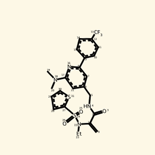 C=C(C(=O)NCc1cc(-c2ccc(C(F)(F)F)cc2)nc(N(C)C)c1)N(CC)S(=O)(=O)c1cccs1